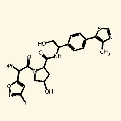 Cc1ncsc1-c1ccc(C(CO)NC(=O)C2CC(O)CN2C(=O)C(c2cc(I)no2)C(C)C)cc1